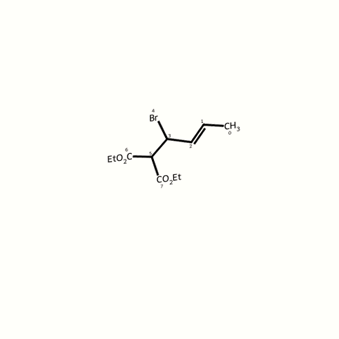 CC=CC(Br)C(C(=O)OCC)C(=O)OCC